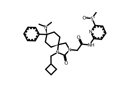 CN(C)[C@]1(c2ccccc2)CC[C@@]2(CC1)CN(CC(=O)Nc1cccc([S+](C)[O-])n1)C(=O)N2CC1CCC1